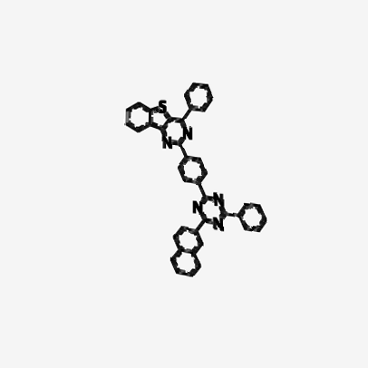 c1ccc(-c2nc(-c3ccc(-c4nc(-c5ccccc5)c5sc6ccccc6c5n4)cc3)nc(-c3ccc4ccccc4c3)n2)cc1